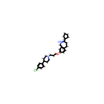 Clc1ccc(C2CCN(CCCOc3ccc4c(c3)CNC(C3CCCC3)CC4)CC2)cc1